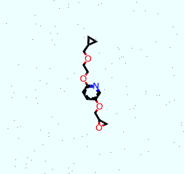 c1cc(OCCOCC2CC2)ncc1OCC1CO1